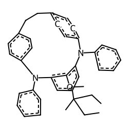 CCC(C)(CC)c1cc2c(OC)c(c1)N(c1ccccc1)c1ccc(cc1)CCc1ccc(cc1)N2c1ccccc1